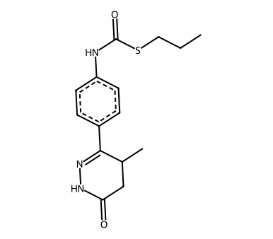 CCCSC(=O)Nc1ccc(C2=NNC(=O)CC2C)cc1